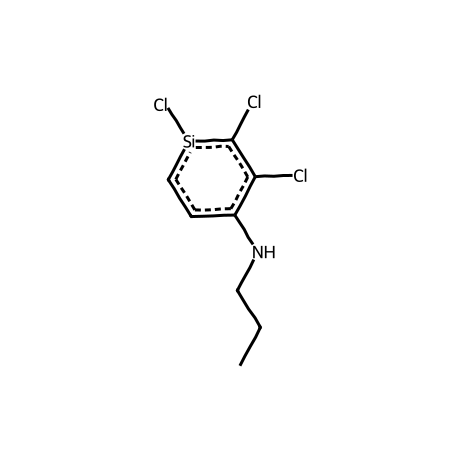 CCCNc1cc[si](Cl)c(Cl)c1Cl